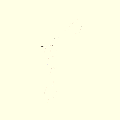 O=C(COc1ccc(Cl)c(F)c1)NC12CCC(C(=O)NCc3cccc(Cl)c3)(CC1)[C@@H](O)C2